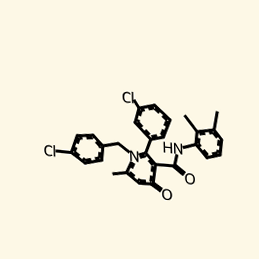 Cc1cccc(NC(=O)c2c(-c3cccc(Cl)c3)n(Cc3ccc(Cl)cc3)c(C)cc2=O)c1C